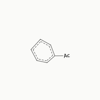 [C]C(=O)c1ccccc1